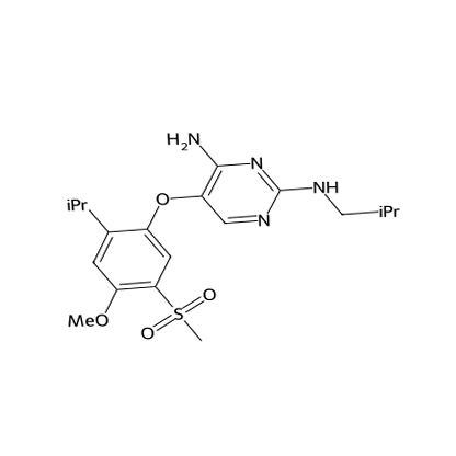 COc1cc(C(C)C)c(Oc2cnc(NCC(C)C)nc2N)cc1S(C)(=O)=O